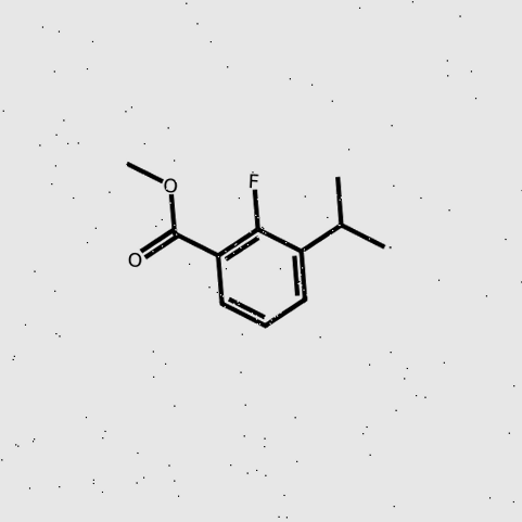 [CH2]C(C)c1cccc(C(=O)OC)c1F